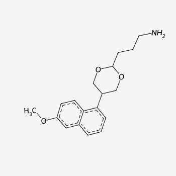 COc1ccc2c(C3COC(CCCN)OC3)cccc2c1